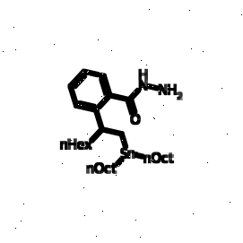 CCCCCCC[CH2][Sn]([CH2]CCCCCCC)[CH2]C(CCCCCC)c1ccccc1C(=O)NN